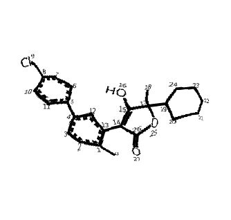 Cc1ccc(-c2ccc(Cl)cc2)cc1C1=C(O)C(C)(C2CCCCC2)OC1=O